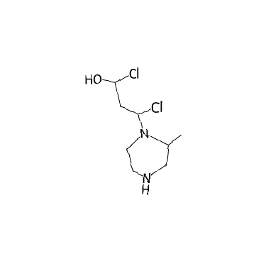 CC1CNCCN1C(Cl)CC(O)Cl